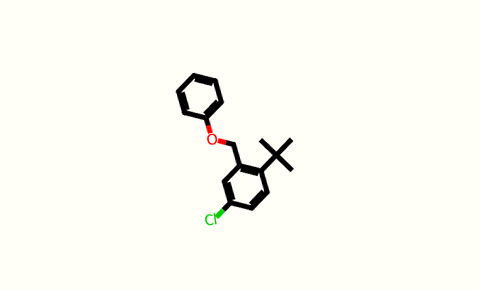 CC(C)(C)c1ccc(Cl)cc1COc1ccccc1